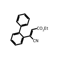 CCOC(=O)C=C(C#N)c1ccccc1-c1ccccc1